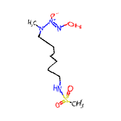 CN(CCCCCCNS(C)(=O)=O)[N+]([O-])=NO